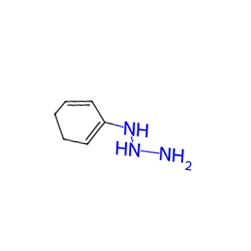 NNNC1=CCCC=C1